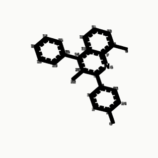 Cc1ccc(-c2nc3c(C)cccc3c(-c3ccccc3)c2C)cc1